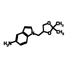 CC1(C)OCC(Cn2ccc3cc(N)ccc32)O1